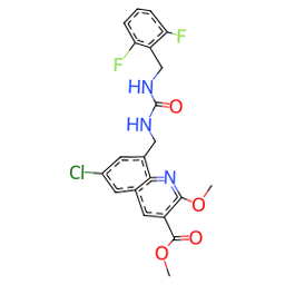 COC(=O)c1cc2cc(Cl)cc(CNC(=O)NCc3c(F)cccc3F)c2nc1OC